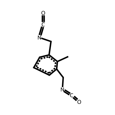 Cc1c(CN=C=O)cccc1CN=C=O